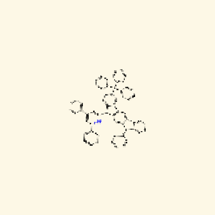 c1ccc(-c2cc(-c3ccccc3)nc(C3c4ccc(C(c5ccccc5)(c5ccccc5)c5ccccc5)cc4-c4cc5c(cc43)C(c3ccccc3)c3ccccc3-5)c2)cc1